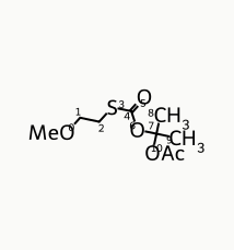 COCCSC(=O)OC(C)(C)OC(C)=O